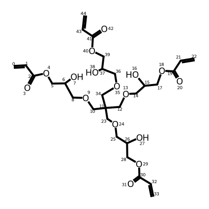 C=CC(=O)OCC(O)COCC(COCC(O)COC(=O)C=C)(COCC(O)COC(=O)C=C)COCC(O)COC(=O)C=C